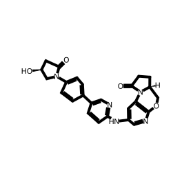 O=C1C[C@H](O)CN1c1ccc(-c2ccc(Nc3cnc4c(c3)N3C(=O)CC[C@H]3CO4)nc2)cc1